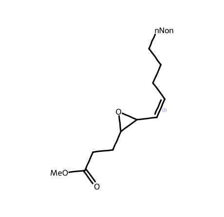 CCCCCCCCCCCC/C=C\C1OC1CCC(=O)OC